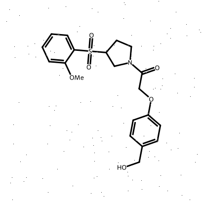 COc1ccccc1S(=O)(=O)C1CCN(C(=O)COc2ccc(CO)cc2)C1